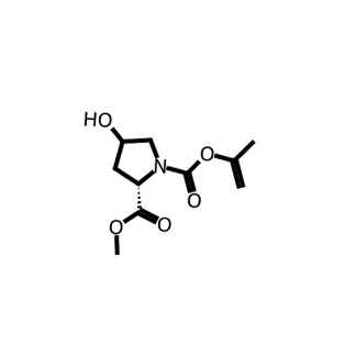 C=C(C)OC(=O)N1CC(O)C[C@H]1C(=O)OC